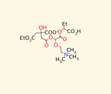 CCOC(=O)CC(O)(CC(=O)OC(OCC[N+](C)(C)C)C(=O)OC(CC)C(=O)O)C(=O)[O-]